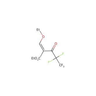 CCOC=C(C(=O)OCC)C(=O)C(F)(F)C(F)(F)F